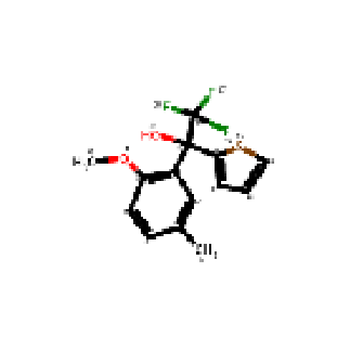 COc1ccc(C)cc1C(O)(c1cccs1)C(F)(F)F